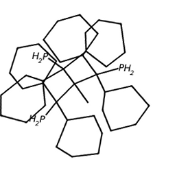 CC(C(P)(C1CCCCC1)C1CCCCC1)(C(P)(C1CCCCC1)C1CCCCC1)C(P)(C1CCCCC1)C1CCCCC1